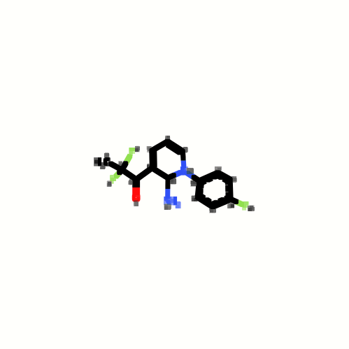 CC(F)(F)C(=O)C1=CC=CN(c2ccc(F)cc2)C1N